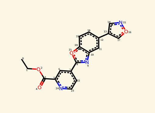 CCOC(=O)c1cc(-c2nc3cc(-c4cnoc4)ccc3o2)ccn1